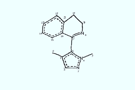 Cc1[c]nn(C)c1C1=NCCc2ccccc21